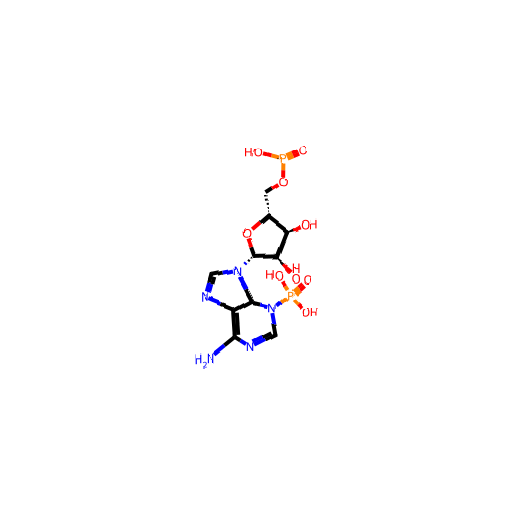 NC1=C2N=CN([C@@H]3O[C@H](CO[P](=O)O)[C@@H](O)[C@H]3O)C2N(P(=O)(O)O)C=N1